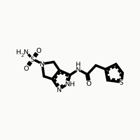 NS(=O)(=O)N1Cc2n[nH]c(NC(=O)Cc3ccsc3)c2C1